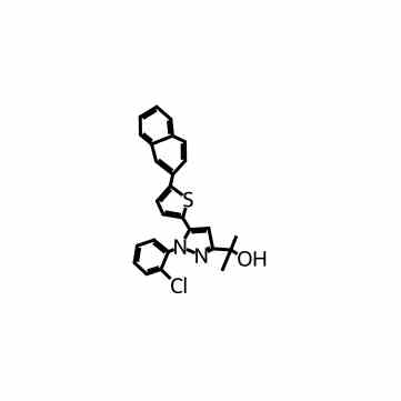 CC(C)(O)c1cc(-c2ccc(-c3ccc4ccccc4c3)s2)n(-c2ccccc2Cl)n1